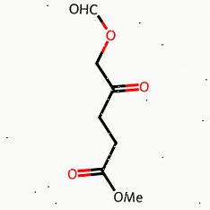 COC(=O)CCC(=O)COC=O